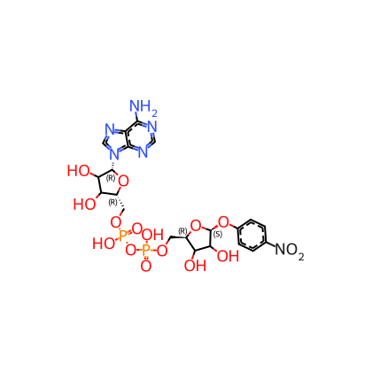 Nc1ncnc2c1ncn2[C@@H]1O[C@H](COP(=O)(O)OP(=O)(O)OC[C@H]2O[C@@H](Oc3ccc([N+](=O)[O-])cc3)C(O)C2O)C(O)C1O